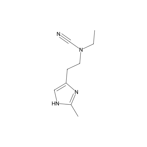 CCN(C#N)CCc1c[nH]c(C)n1